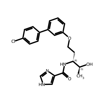 C[C@H](O)[C@@H](CCOc1cccc(-c2ccc(Cl)cc2)c1)NC(=O)c1c[nH]cn1